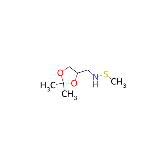 CSNCC1COC(C)(C)O1